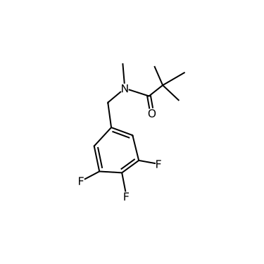 CN(Cc1cc(F)c(F)c(F)c1)C(=O)C(C)(C)C